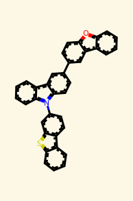 c1ccc2c(c1)oc1ccc(-c3ccc4c(c3)c3ccccc3n4-c3ccc4c(c3)sc3ccccc34)cc12